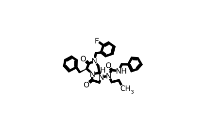 CCCN(C(=O)NCc1ccccc1)N1CC(=O)N2[C@@H](Cc3ccccc3)C(=O)N(Cc3ccccc3F)C[C@@H]21